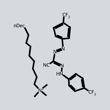 CCCCCCCCCCCCCCCCCC[N+](C)(C)C.N#CC(N=Nc1ccc(C(F)(F)F)cc1)=NNc1ccc(C(F)(F)F)cc1